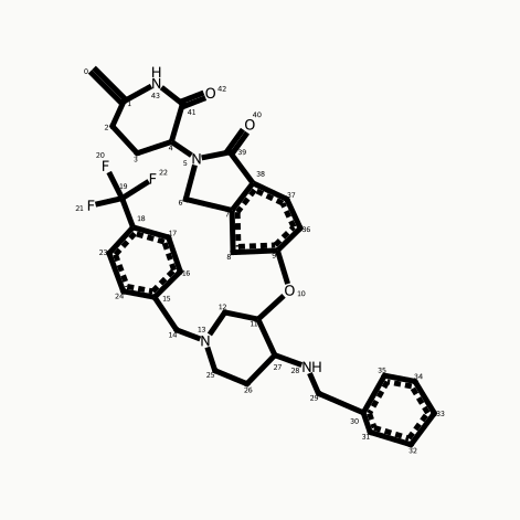 C=C1CCC(N2Cc3cc(OC4CN(Cc5ccc(C(F)(F)F)cc5)CCC4NCc4ccccc4)ccc3C2=O)C(=O)N1